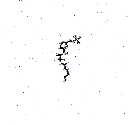 C=C/C=C\C=C(/C)OC(F)(F)C(=O)Nc1cccc(COS(C)(=O)=O)n1